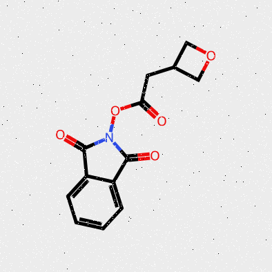 O=C(CC1COC1)ON1C(=O)c2ccccc2C1=O